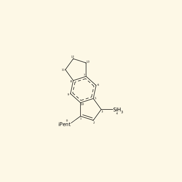 CCCC(C)C1=CC([SiH3])c2cc3c(cc21)CCC3